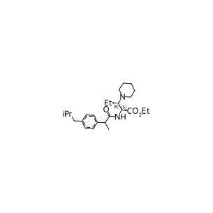 CCOC(=O)[C@@H](NC(=O)C(C)c1ccc(CC(C)C)cc1)[C@@H](CC)N1CCCCC1